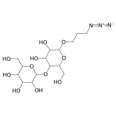 [N-]=[N+]=NCCCOC1OC(CO)C(OC2OC(CO)C(O)C(O)C2O)C(O)C1O